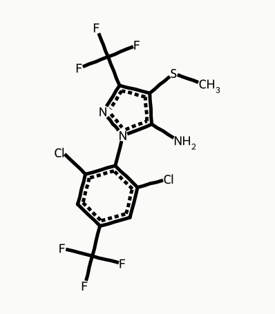 CSc1c(C(F)(F)F)nn(-c2c(Cl)cc(C(F)(F)F)cc2Cl)c1N